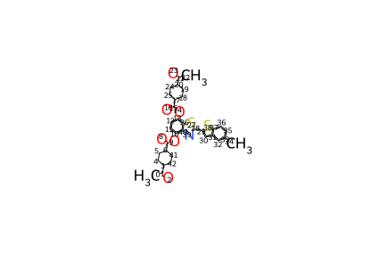 CC(=O)C1CCC(C(=O)Oc2ccc(OC(=O)C3CCC(C(C)=O)CC3)c3sc(-c4cc5cc(C)ccc5s4)nc23)CC1